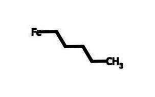 CCCC[CH2][Fe]